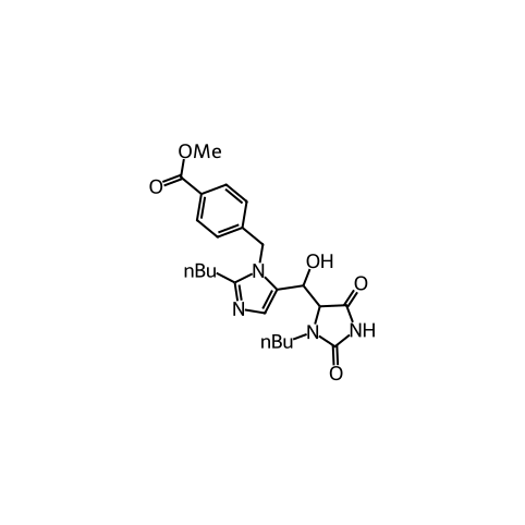 CCCCc1ncc(C(O)C2C(=O)NC(=O)N2CCCC)n1Cc1ccc(C(=O)OC)cc1